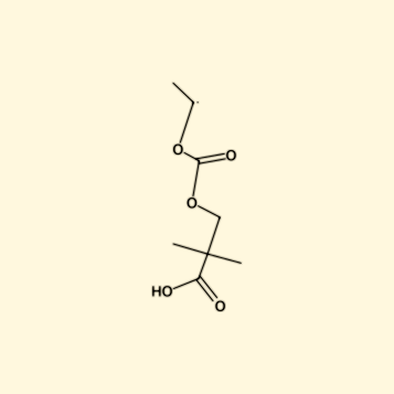 C[CH]OC(=O)OCC(C)(C)C(=O)O